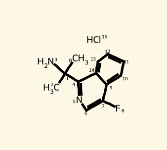 CC(C)(N)c1ncc(F)c2ccccc12.Cl